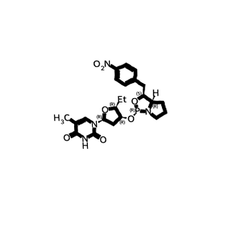 CC[C@H]1O[C@@H](n2cc(C)c(=O)[nH]c2=O)C[C@H]1O[P@]1O[C@@H](Cc2ccc([N+](=O)[O-])cc2)[C@H]2CCCN21